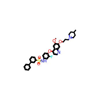 COc1cc2c(Oc3ccc(NS(=O)(=O)c4cccc(-c5ccccc5)c4)cc3F)ccnc2cc1OCCCN1CCC(C)CC1